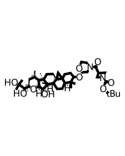 C[C@@H]1C[C@H]([C@H](O)C(C)(C)O)O[C@H]2C1[C@@]1(C)CC[C@@]34CC35CCC(OC3CN(C(=O)C6CN(C(=O)OC(C)(C)C)C6)CCO3)C(C)(C)[C@@H]5CC[C@H]4[C@]1(C)[C@H]2O